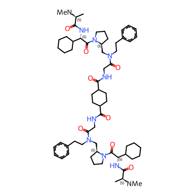 CN[C@@H](C)C(=O)N[C@H](C(=O)N1CCC[C@H]1CN(CCc1ccccc1)C(=O)CNC(=O)C1CCC(C(=O)NCC(=O)N(CCc2ccccc2)C[C@@H]2CCCN2C(=O)[C@@H](NC(=O)[C@H](C)NC)C2CCCCC2)CC1)C1CCCCC1